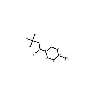 CC(C)(C)C[C@H](I)N1CCC(N)CC1